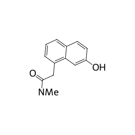 CNC(=O)Cc1cccc2ccc(O)cc12